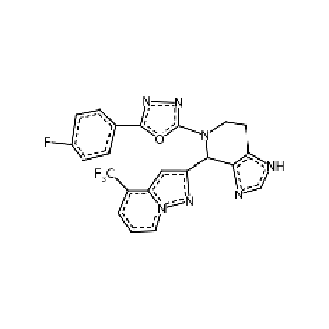 Fc1ccc(-c2nnc(N3CCc4[nH]cnc4C3c3cc4c(C(F)(F)F)cccn4n3)o2)cc1